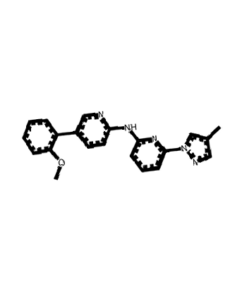 COc1ccccc1-c1ccc(Nc2cccc(-n3cc(C)cn3)n2)nc1